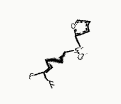 [O-][S+](CCC=C(F)F)c1ccco1